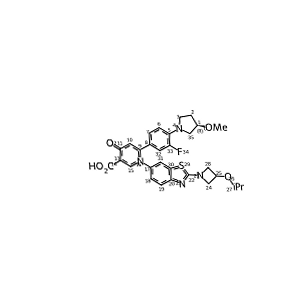 CO[C@@H]1CCN(c2ccc(-c3cc(=O)c(C(=O)O)cn3-c3ccc4nc(N5CC(OC(C)C)C5)sc4c3)cc2F)C1